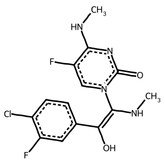 CN/C(=C(\O)c1ccc(Cl)c(F)c1)n1cc(F)c(NC)nc1=O